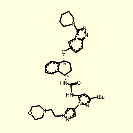 CC(C)(C)c1cc(NC(=O)N[C@H]2CC[C@@H](Oc3ccc4nnc(N5CCCCC5)n4c3)c3ccccc32)n(-c2cnn(CCN3CCOCC3)c2)n1